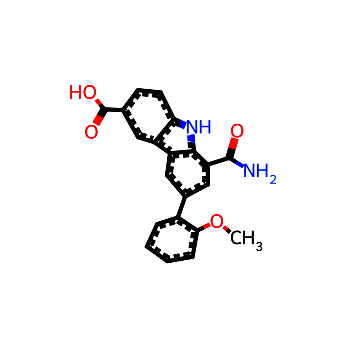 COc1ccccc1-c1cc(C(N)=O)c2[nH]c3ccc(C(=O)O)cc3c2c1